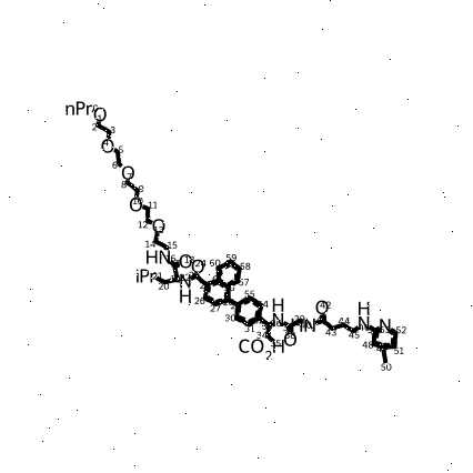 CCCOCCOCCOCCOCCOCCNC(=O)C(CC(C)C)NC(=O)c1ccc(-c2ccc(C(CC(=O)O)NC(=O)CNC(=O)CCCNc3cc(C)ccn3)cc2)c2ccccc12